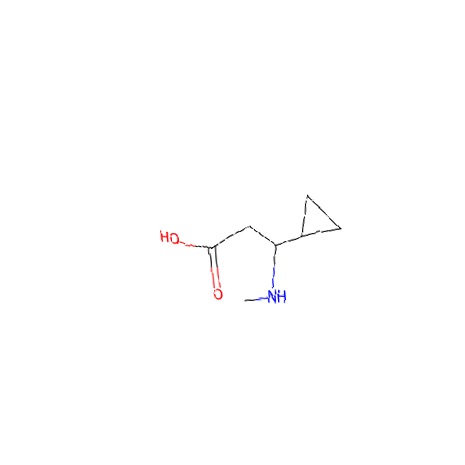 CNC(CC(=O)O)C1CC1